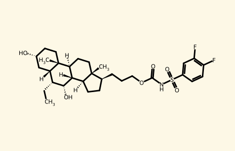 CC[C@H]1[C@@H](O)[C@@H]2[C@H](CC[C@]3(C)[C@@H](CCCOC(=O)NS(=O)(=O)c4ccc(F)c(F)c4)CC[C@@H]23)[C@@]2(C)CC[C@@H](O)C[C@@H]12